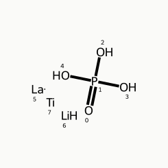 O=P(O)(O)O.[La].[LiH].[Ti]